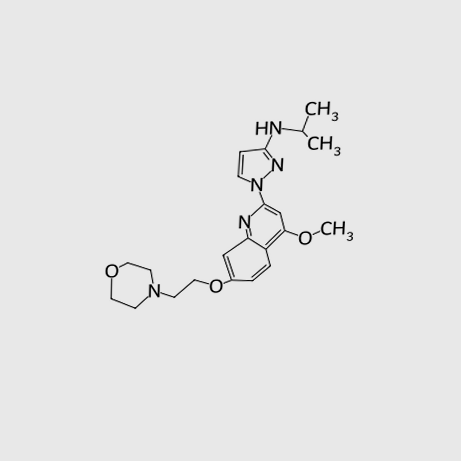 COc1cc(-n2ccc(NC(C)C)n2)nc2cc(OCCN3CCOCC3)ccc12